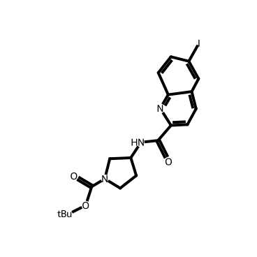 CC(C)(C)OC(=O)N1CCC(NC(=O)c2ccc3cc(I)ccc3n2)C1